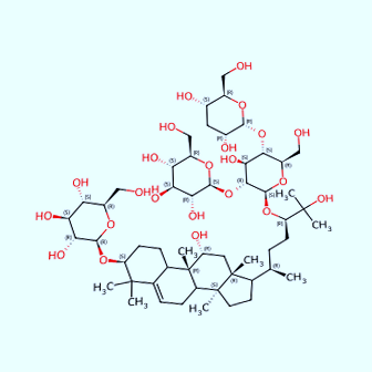 C[C@H](CC[C@@H](O[C@@H]1O[C@H](CO)[C@@H](O[C@H]2O[C@H](CO)[C@@H](O)C[C@H]2O)[C@H](O)[C@H]1O[C@@H]1O[C@H](CO)[C@@H](O)[C@H](O)[C@H]1O)C(C)(C)O)C1CC[C@@]2(C)C3CC=C4C(CC[C@H](O[C@@H]5O[C@H](CO)[C@@H](O)[C@H](O)[C@H]5O)C4(C)C)[C@]3(C)[C@H](O)C[C@]12C